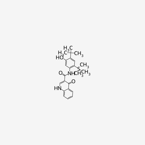 CC(C)(C)c1cc(S(C)(C)C)c(NC(=O)c2c[nH]c3ccccc3c2=O)cc1O